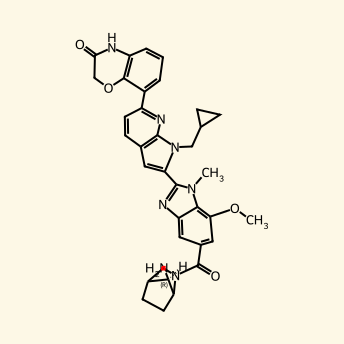 COc1cc(C(=O)N2CC3CCC2[C@@H]3N)cc2nc(-c3cc4ccc(-c5cccc6c5OCC(=O)N6)nc4n3CC3CC3)n(C)c12